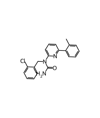 Cc1ccccc1-c1cccc(N(Cc2ccccc2Cl)C(N)=O)n1